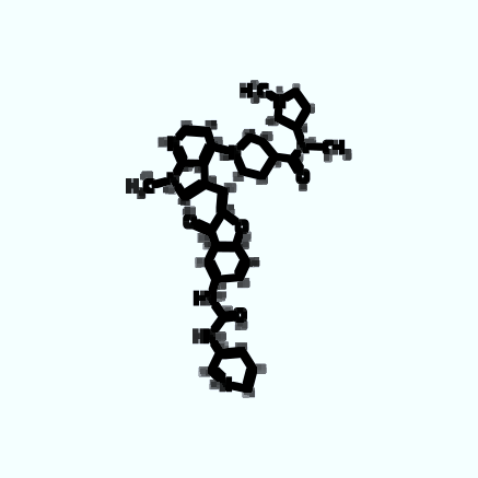 CN1CCC(N(C)C(=O)C2CCN(c3ccnc4c3c(C=C3Oc5ccc(NC(=O)Nc6cccnc6)cc5C3=O)cn4C)CC2)C1